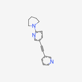 C(#Cc1ccc(N2CCCCC2)nc1)c1cccnc1